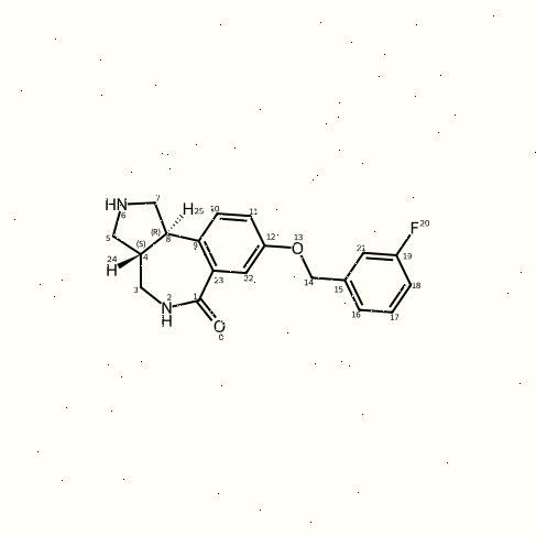 O=C1NC[C@@H]2CNC[C@H]2c2ccc(OCc3cccc(F)c3)cc21